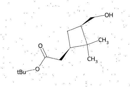 CC(C)(C)OC(=O)C[C@H]1C[C@@H](CO)C1(C)C